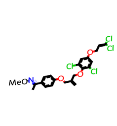 C=C(COc1ccc(/C(C)=N/OC)cc1)COc1c(Cl)cc(OCC=C(Cl)Cl)cc1Cl